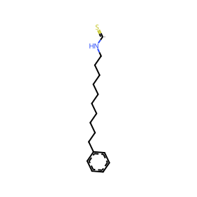 S=[C]NCCCCCCCCCCc1ccccc1